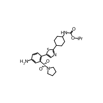 CC(C)OC(=O)NC1CCC(c2ncc(-c3ccc(N)cc3S(=O)(=O)N3CCCC3)s2)CC1